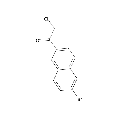 O=C(CCl)c1ccc2cc(Br)ccc2c1